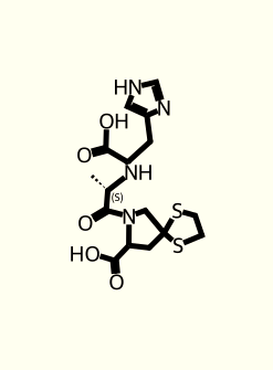 C[C@H](NC(Cc1c[nH]cn1)C(=O)O)C(=O)N1CC2(CC1C(=O)O)SCCS2